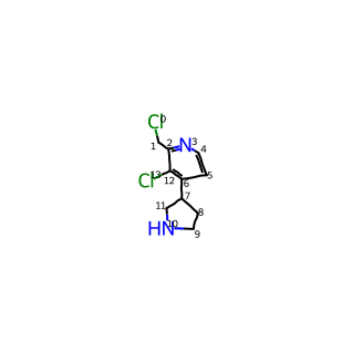 ClCc1nccc(C2CCNC2)c1Cl